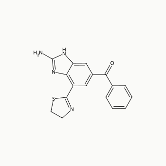 Nc1nc2c(C3=NCCS3)cc(C(=O)c3ccccc3)cc2[nH]1